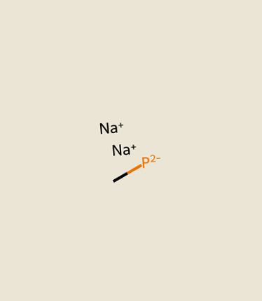 C[P-2].[Na+].[Na+]